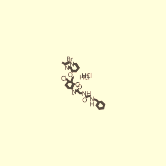 Cc1nc2c(OCc3c(Cl)ccc(N(C)C(=O)CNC(=O)CNCc4ccccc4)c3Cl)cccn2c1Br.Cl.Cl